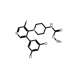 CC(C)(C)OC(=O)NC1CCN(c2c(I)cncc2-c2cc(Cl)cc(Cl)c2)CC1